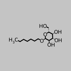 CCCCCCCO[C@H]1O[C@H](CO)[C@H](O)[C@H](O)[C@H]1O